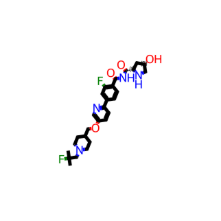 CC(C)(F)CN1CCC(COc2ccc(-c3ccc(C(=O)NC(=O)[C@@H]4C[C@@H](O)CN4)c(F)c3)nc2)CC1